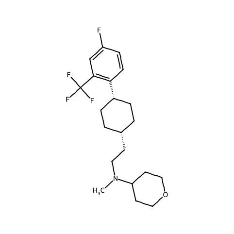 CN(CC[C@H]1CC[C@@H](c2ccc(F)cc2C(F)(F)F)CC1)C1CCOCC1